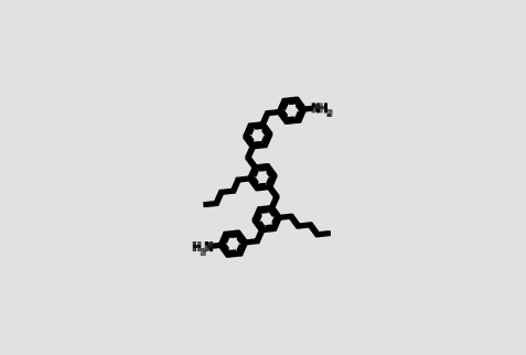 CCCCCc1cc(Cc2ccc(N)cc2)ccc1Cc1ccc(Cc2ccc(Cc3ccc(N)cc3)cc2)c(CCCCC)c1